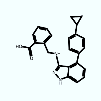 O=C(O)c1ccccc1CNc1n[nH]c2cccc(-c3ccc(C4CC4)cc3)c12